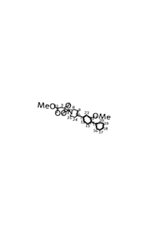 COC(=O)CS(=O)(=O)N1CC=C(c2ccc(-c3ccccc3)c(OC)c2)CC1